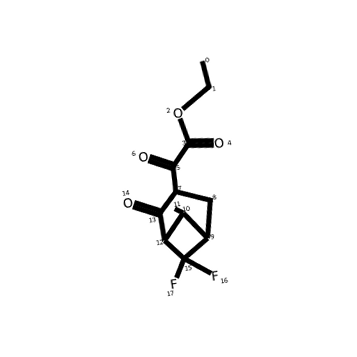 CCOC(=O)C(=O)C1CC2C(C)C(C1=O)C2(F)F